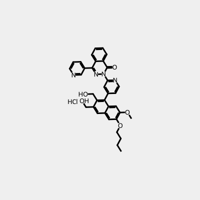 CCCCOc1cc2cc(CO)c(CO)c(-c3ccnc(-n4nc(-c5cccnc5)c5ccccc5c4=O)c3)c2cc1OC.Cl